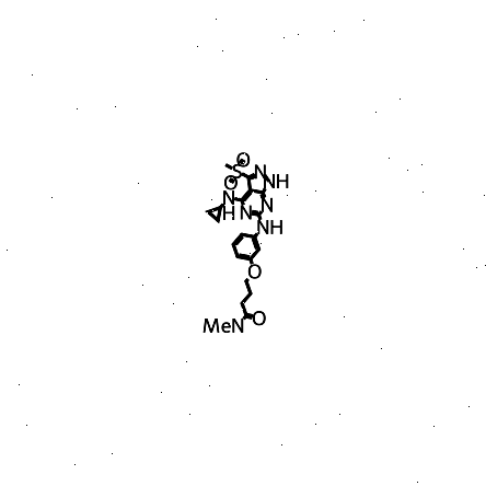 CNC(=O)CCCOc1cccc(Nc2nc(NC3CC3)c3c(S(C)(=O)=O)n[nH]c3n2)c1